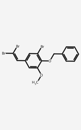 COc1cc(C=C(Br)Br)cc(Br)c1OCc1ccccc1